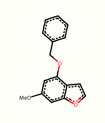 COc1cc(OCc2ccccc2)c2ccoc2c1